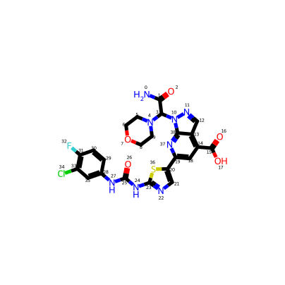 NC(=O)C(N1CCOCC1)n1ncc2c(C(=O)O)cc(-c3cnc(NC(=O)Nc4ccc(F)c(Cl)c4)s3)nc21